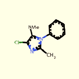 CNc1c(Cl)nc(C)n1-c1ccccc1